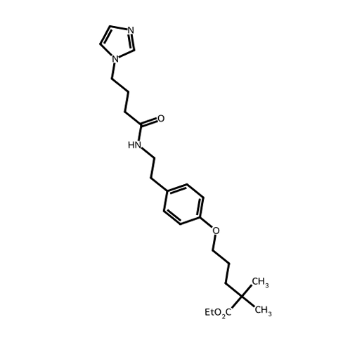 CCOC(=O)C(C)(C)CCCOc1ccc(CCNC(=O)CCCn2ccnc2)cc1